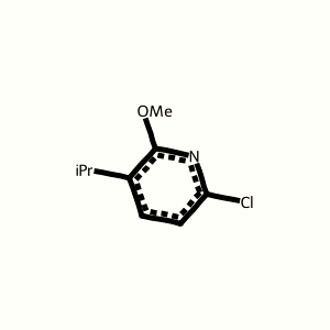 COc1nc(Cl)ccc1C(C)C